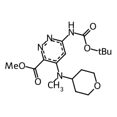 COC(=O)c1nnc(NC(=O)OC(C)(C)C)cc1N(C)C1CCOCC1